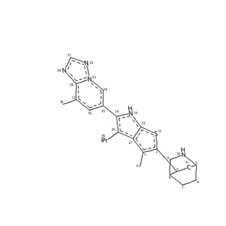 Cc1c(C2CC3CCC2CN3)sc2[nH]c(-c3cc(C)c4ncnn4c3)c(C(C)C)c12